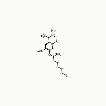 COc1cc2c(cc1OC(N)CCCCCO)CCN(C=O)C2C